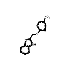 O=[N+]([O-])c1ccc(SCc2nc3ccccc3[nH]2)nc1